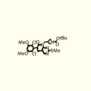 COc1cc(OC)c(Cl)c(-c2cc3cnc(SC)nc3n(CC3CN(C(=O)OC(C)(C)C)C3)c2=O)c1Cl